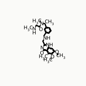 CNCC(=O)N(C)C(C)c1cccc(CNCc2nc(=O)c3c(C)c(OC)c(OC)cc3[nH]2)c1